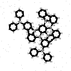 c1ccc(N(c2ccccc2)c2ccc3c(c2)c2cccc4c2n3-c2cc3c5c6c2B4c2cc(N(c4ccccc4)c4ccccc4)cc4c7cccc(c7n-6c24)B5c2cccc4c5ccccc5n-3c24)cc1